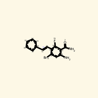 NC(=O)c1c(N)cc(Br)c(/C=C/c2ccccc2)c1F